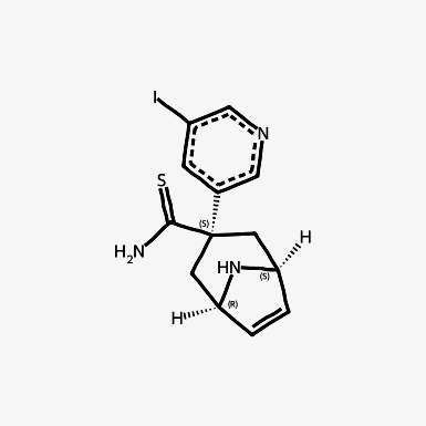 NC(=S)[C@@]1(c2cncc(I)c2)C[C@H]2C=C[C@@H](C1)N2